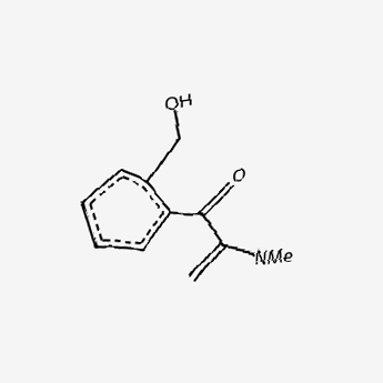 C=C(NC)C(=O)c1ccccc1CO